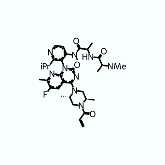 C=CC(=O)N1C[C@H](C)N(c2nc(=O)n(-c3c(N(C)C(=O)C(C)NC(=O)C(C)NC)ccnc3C(C)C)c3nc(C)c(F)cc23)C[C@H]1C